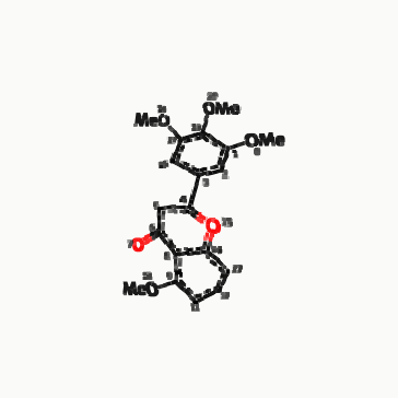 COc1cc(-c2cc(=O)c3c(OC)cccc3o2)cc(OC)c1OC